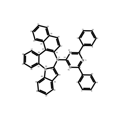 c1ccc(-c2nc(-c3ccccc3)nc(N3c4ccc5ccccc5c4-c4ccccc4-n4c3cc3ccccc34)n2)cc1